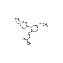 CCc1ccc(OCC(=O)O)c(-c2ccc(SC)cc2)c1